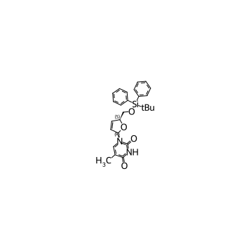 Cc1cn([C@H]2C=C[C@@H](CO[Si](c3ccccc3)(c3ccccc3)C(C)(C)C)O2)c(=O)[nH]c1=O